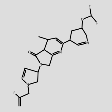 C=C(F)CN1CC(N2CC3=NC(C4C=NCC(OC(F)F)C4)=CC(C)C3C2=O)C=N1